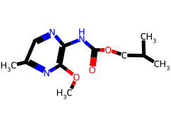 COc1nc(C)cnc1NC(=O)OCC(C)C